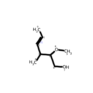 C/C=C/C(C)C(CO)OC